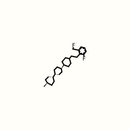 C[C@H]1CC[C@H]([C@H]2CC[C@H](C3CCC(CCc4c(F)cccc4CF)CC3)CC2)CC1